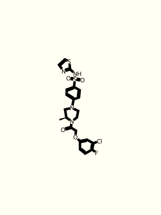 C[C@H]1CN(c2ccc(S(=O)(=O)Nc3nccs3)cc2)CCN1C(=O)COc1ccc(F)c(Cl)c1